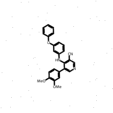 COc1ccc(-c2cncc(C#N)c2Nc2cccc(Oc3ccccc3)c2)cc1OC